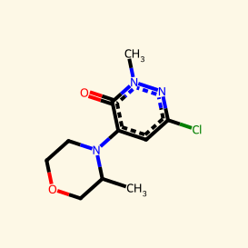 CC1COCCN1c1cc(Cl)nn(C)c1=O